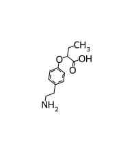 CCC(Oc1ccc(CCN)cc1)C(=O)O